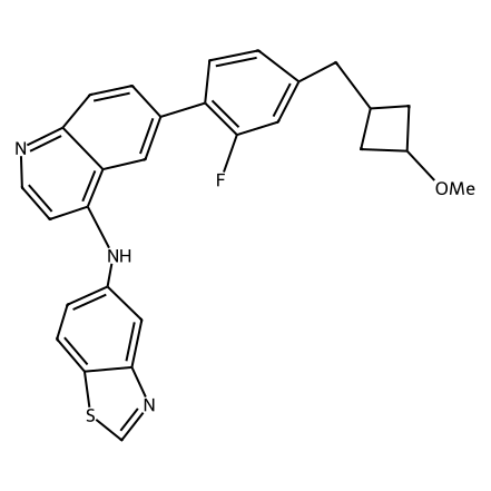 COC1CC(Cc2ccc(-c3ccc4nccc(Nc5ccc6scnc6c5)c4c3)c(F)c2)C1